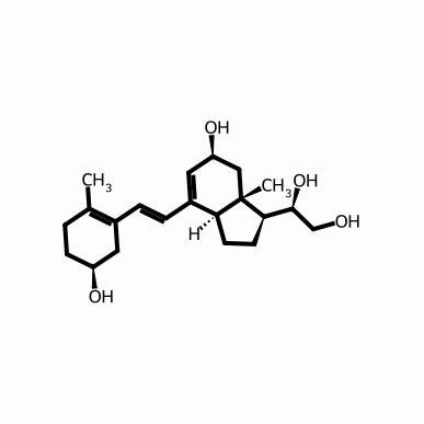 CC1=C(/C=C/C2=C[C@@H](O)C[C@]3(C)[C@@H]([C@@H](O)CO)CC[C@@H]23)C[C@@H](O)CC1